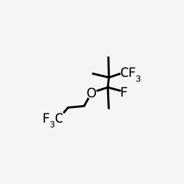 CC(F)(OCCC(F)(F)F)C(C)(C)C(F)(F)F